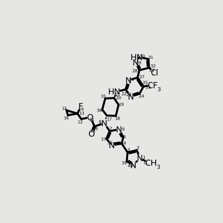 Cn1cc(-c2cnc(N(C(=O)OCC3(F)CC3)[C@H]3CC[C@H](Nc4ncc(C(F)(F)F)c(-c5n[nH]cc5Cl)n4)CC3)cn2)cn1